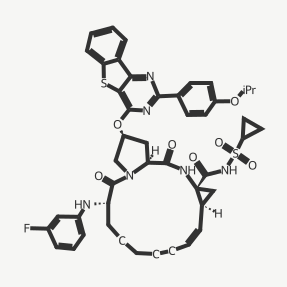 CC(C)Oc1ccc(-c2nc(O[C@@H]3C[C@H]4C(=O)N[C@]5(C(=O)NS(=O)(=O)C6CC6)C[C@H]5/C=C\CCCCC[C@H](Nc5cccc(F)c5)C(=O)N4C3)c3sc4ccccc4c3n2)cc1